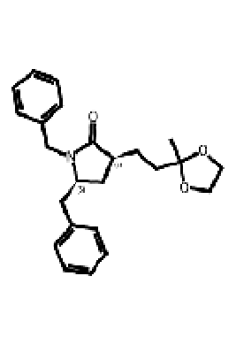 CC1(CC[C@H]2C[C@@H](Cc3ccccc3)N(Cc3ccccc3)C2=O)OCCO1